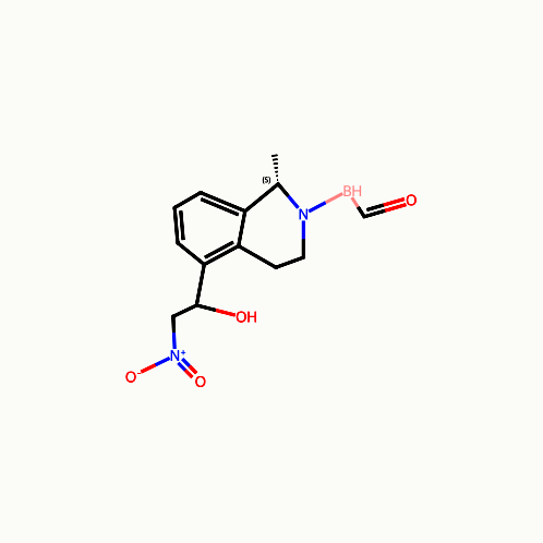 C[C@H]1c2cccc(C(O)C[N+](=O)[O-])c2CCN1BC=O